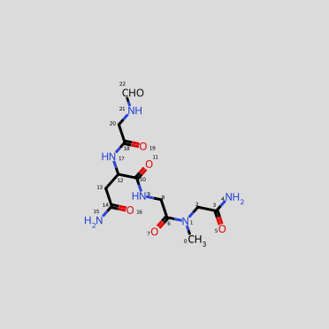 CN(CC(N)=O)C(=O)CNC(=O)C(CC(N)=O)NC(=O)CNC=O